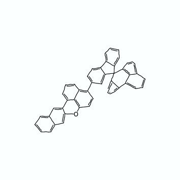 c1ccc2c(c1)-c1ccc(-c3ccc4c5c(cccc35)-c3cc5ccccc5cc3O4)cc1C21c2ccccc2-c2cccc3cccc1c23